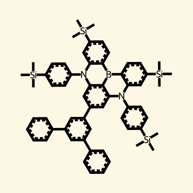 C[Si](C)(C)c1ccc(N2c3cc([Si](C)(C)C)ccc3B3c4ccc([Si](C)(C)C)cc4N(c4ccc([Si](C)(C)C)cc4)c4cc(-c5cc(-c6ccccc6)cc(-c6ccccc6)c5)cc2c43)cc1